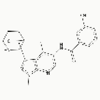 Cc1c(NC(=O)c2cccc(C#N)c2)cnc2c1c(C1CC3CCC1CN3)cn2C